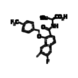 Cc1cc2c(OCc3ccc(C(F)(F)F)cc3)c(C(=O)N[C@H](C(=O)O)C(C)(C)C)ccc2cc1F